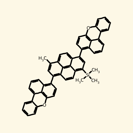 Cc1cc(-c2ccc3c4c(cccc24)-c2ccccc2O3)c2ccc3c([Si](C)(C)C)cc(-c4ccc5c6c(cccc46)-c4ccccc4O5)c4ccc1c2c43